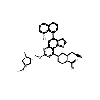 CO[C@@H]1C[C@@H](COc2nc(N3CCN(C(=O)O)C(CC#N)C3)c3c(cc(-c4cccc5cccc(Cl)c45)c4ccoc43)n2)N(C)C1